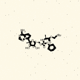 C[C@H](NP(=O)(OC[C@H]1O[C@@](C)(c2ccc3c(N)ncnn23)[C@H](O)[C@@H]1O)Oc1ccccc1)C(=O)OCC(C)(C)C